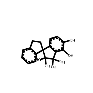 Oc1ccc2c(c1O)C(O)(O)C(O)(O)C21CCc2ccccc21